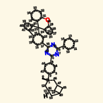 C[C@@]1(c2ccc(-c3nc(-c4ccccc4)nc(-c4ccc5c(c4)C4(c6ccccc6Oc6ccccc64)c4ccccc4-5)n3)cc2)CC2CC3C[C@@H](C1)C32